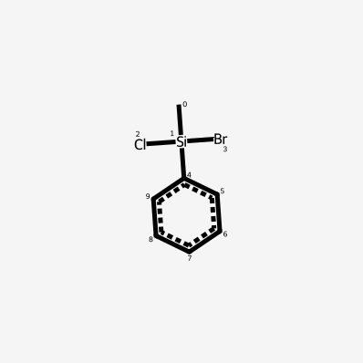 C[Si](Cl)(Br)c1ccccc1